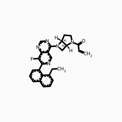 C=CC(=O)N1CC[C@@H]2[C@H]1CN2c1ncnc2c(F)c(-c3cccc4cccc(CC)c34)ncc12